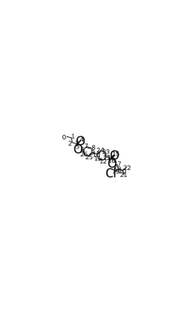 CCCC(=O)Oc1ccc(-c2ccc(C(=O)OCC(Cl)C(C)C)cc2)cc1